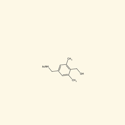 CC(=O)NCc1cc(C)c(CO)c(C)c1